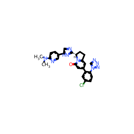 CN(C)c1ccc(-c2cnc([C@@H]3CCc4cc(-c5cc(Cl)ccc5-n5cnnn5)cc(=O)n43)[nH]2)cn1